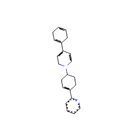 C1=CCC(C2=CCN(C3CC=C(c4ccccn4)CC3)C=C2)=CC1